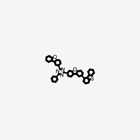 c1ccc(-c2nc(-c3ccc4c(c3)oc3ccc(-c5cccc6sc7ccccc7c56)cc34)nc(-c3ccc4oc5ccccc5c4c3)n2)cc1